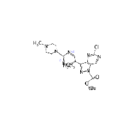 C=C(/C=N\C(=N/C)N1CCN(C)CC1)c1nn(C(=O)OC(C)(C)C)c2cnc(Cl)nc12